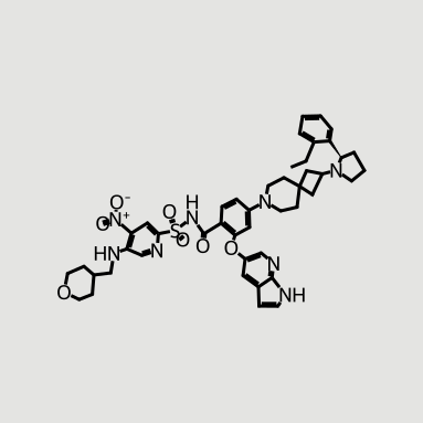 CCc1ccccc1[C@H]1CCCN1C1CC2(CCN(c3ccc(C(=O)NS(=O)(=O)c4cc([N+](=O)[O-])c(NCC5CCOCC5)cn4)c(Oc4cnc5[nH]ccc5c4)c3)CC2)C1